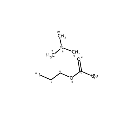 CC(C)(C)C(=O)OCCI.CN(C)C